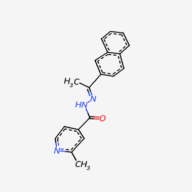 C/C(=N\NC(=O)c1ccnc(C)c1)c1ccc2ccccc2c1